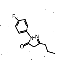 CCCC1=NN(c2ccc(F)cc2)C(=O)C1